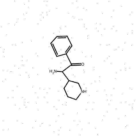 NC(C(=O)c1ccccc1)C1CCCNC1